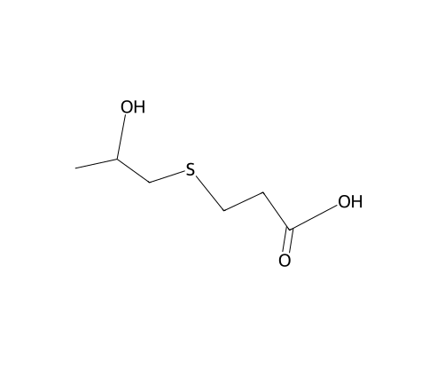 CC(O)CSCCC(=O)O